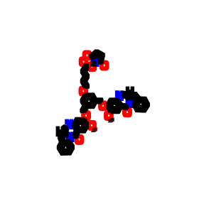 COc1cc2c(cc1OCc1cc(COc3cc4c(cc3OC)C(=O)N3c5ccccc5C[C@H]3C=N4)cc(OCCCCC(=O)ON3C(=O)CCC3=O)c1)N=C[C@@H]1Cc3ccccc3N1C2=O